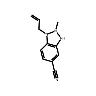 C=CCN1c2ccc(C#N)cc2NN1C